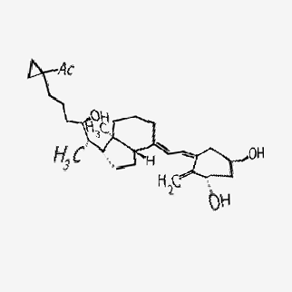 C=C1/C(=C\C=C2/CCC[C@]3(C)[C@@H]([C@H](C)[C@H](O)CCCC4(C(C)=O)CC4)CC[C@@H]23)C[C@@H](O)C[C@@H]1O